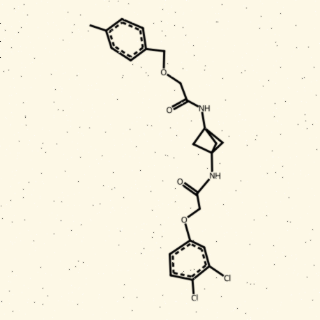 Cc1ccc(COCC(=O)NC23CC(NC(=O)COc4ccc(Cl)c(Cl)c4)(C2)C3)cc1